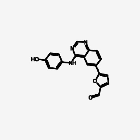 O=Cc1ccc(-c2ccc3ncnc(Nc4ccc(O)cc4)c3c2)o1